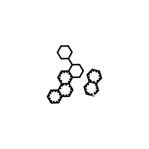 c1ccc2c(c1)ccc1c3c(ccc12)C(C1CCCCC1)CCC3.c1ccc2cnccc2c1